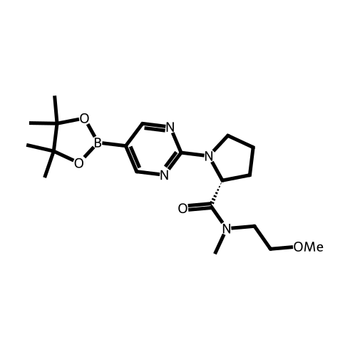 COCCN(C)C(=O)[C@H]1CCCN1c1ncc(B2OC(C)(C)C(C)(C)O2)cn1